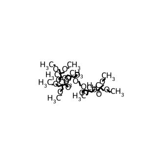 CCOCC(C)(COCC)C(=O)OCC(C)(CC)C(=O)OCCOC(=O)C(C)(COC(=O)C(C)(COCC)COCC)COC(=O)C(C)(COCC)COCC